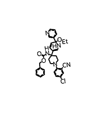 CCOC1(c2cccnc2)C=CC(C2(NC(=O)OCc3ccccc3)CCN(c3ccc(Cl)cc3C#N)CC2)=CN1